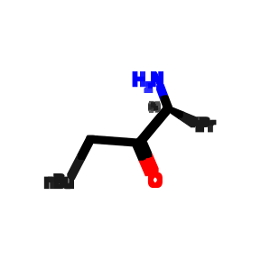 CCCCCC(=O)[C@@H](N)C(C)C